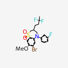 COc1cc2c(cc1Br)N(c1cccc(F)c1)CC(CCC(C)(F)F)CS2(=O)=O